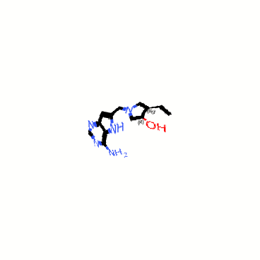 CC[C@@H]1CN(Cc2cc3ncnc(N)c3[nH]2)C[C@@H]1O